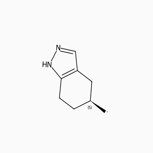 [CH2][C@H]1CCc2[nH]ncc2C1